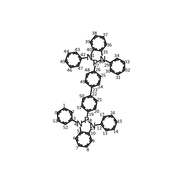 c1ccc(N2c3ccccc3N(c3ccccc3)P2c2ccc(-c3ccc(P4N(c5ccccc5)c5ccccc5N4c4ccccc4)cc3)cc2)cc1